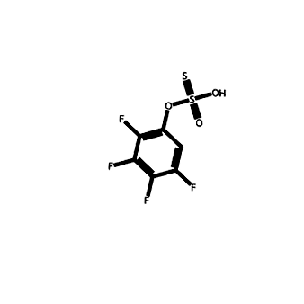 O=S(O)(=S)Oc1cc(F)c(F)c(F)c1F